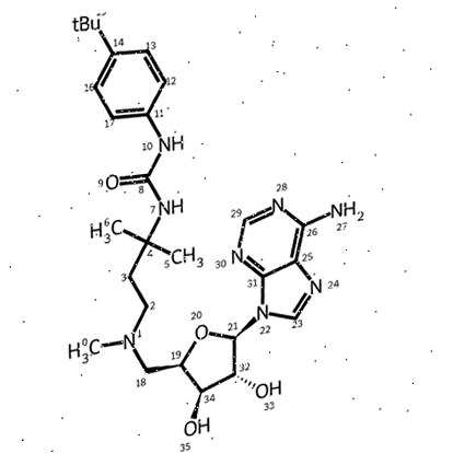 CN(CCC(C)(C)NC(=O)Nc1ccc(C(C)(C)C)cc1)C[C@H]1O[C@@H](n2cnc3c(N)ncnc32)[C@H](O)[C@H]1O